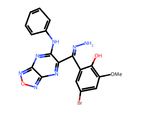 COc1cc(Br)cc(C(=NN)c2nc3nonc3nc2Nc2ccccc2)c1O